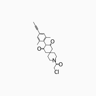 CC#Cc1cc(C)c(C2C(=O)CC3(CCN(C(=O)CCl)CC3)CC2=O)c(C)c1